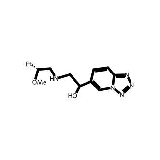 CC[C@H](CNCC(O)c1ccc2nnnn2c1)OC